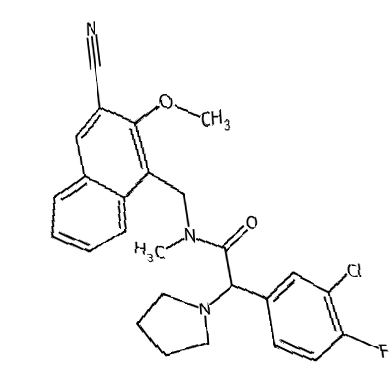 COc1c(C#N)cc2ccccc2c1CN(C)C(=O)C(c1ccc(F)c(Cl)c1)N1CCCC1